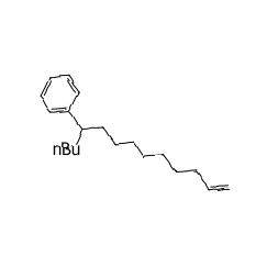 C=CCCCCCCCC(CCCC)c1ccccc1